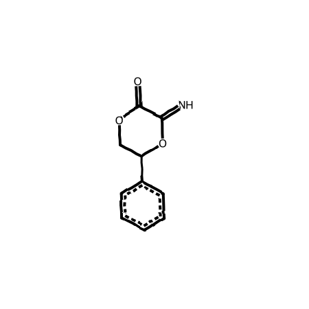 N=C1OC(c2ccccc2)COC1=O